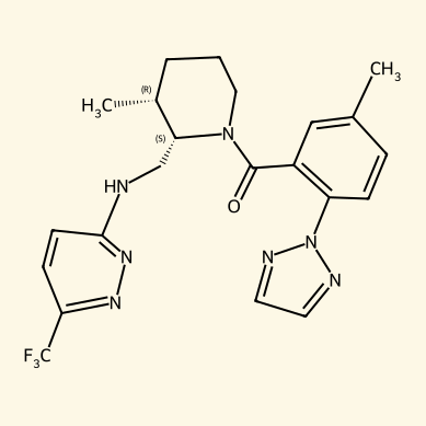 Cc1ccc(-n2nccn2)c(C(=O)N2CCC[C@@H](C)[C@H]2CNc2ccc(C(F)(F)F)nn2)c1